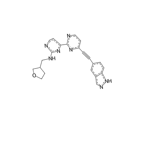 C(#Cc1ccnc(-c2ccnc(NCC3CCOC3)n2)n1)c1ccc2[nH]ncc2c1